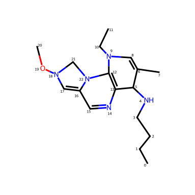 CCCCNC1C(C)=CN(CC)C2=C1N=CC1=CN(OC)CN12